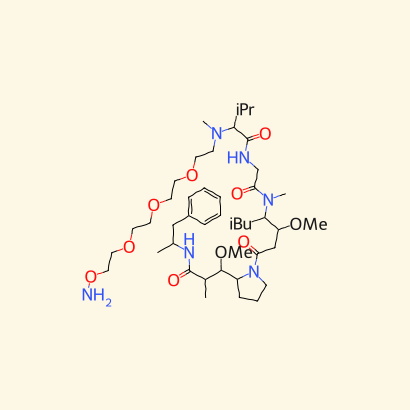 CCC(C)C(C(CC(=O)N1CCCC1C(OC)C(C)C(=O)NC(C)Cc1ccccc1)OC)N(C)C(=O)CNC(=O)C(C(C)C)N(C)CCOCCOCCOCCON